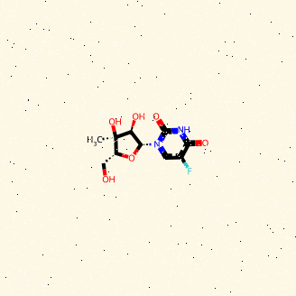 C[C@@]1(O)[C@@H](CO)O[C@@H](n2cc(F)c(=O)[nH]c2=O)[C@@H]1O